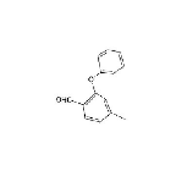 Cc1ccc([C]=O)c(Oc2ccccc2)c1